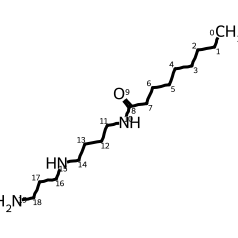 CCCCCCCCC(=O)NCCCCNCCCN